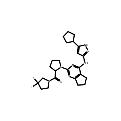 O=C(C1CCCN1c1nc2c(c(Nc3cc(C4CCCC4)[nH]n3)n1)CCC2)N1CCC(F)(F)C1